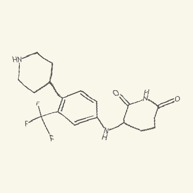 O=C1CCC(Nc2ccc(C3CCNCC3)c(C(F)(F)F)c2)C(=O)N1